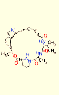 CC(C)[C@@H]1NC(=O)CCCC/C=C/c2cc3cc(ccc3cn2)[C@@H](C)OC(=O)[C@@H]2CCCN(N2)C(=O)[C@H](C)NC1=O